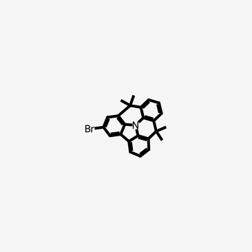 CC1(C)c2cccc3c2-n2c4c1cccc4c1cc(Br)cc(c12)C3(C)C